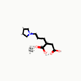 O=C([O-])CC(CCCN1CCCC1)C(=O)[O-].[Na+].[Na+]